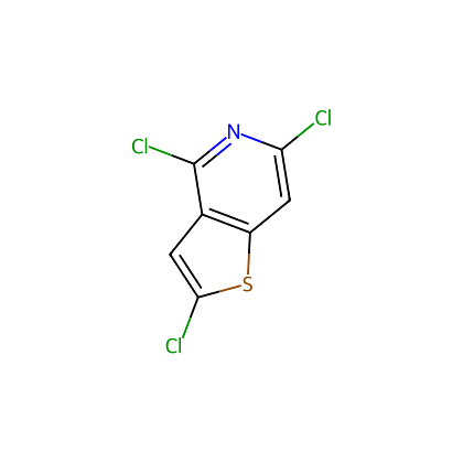 Clc1cc2sc(Cl)cc2c(Cl)n1